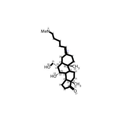 CNCCCC/C=C1/CC[C@]2(C)C3CC[C@]4(C)C(=O)CCC4C3[C@H](O)[C@H](CO)C2C1